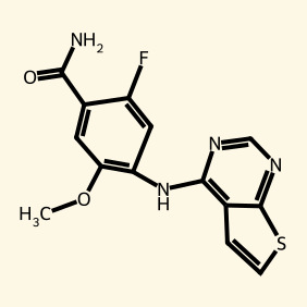 COc1cc(C(N)=O)c(F)cc1Nc1ncnc2sccc12